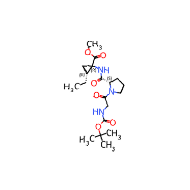 CC[C@@H]1C[C@]1(NC(=O)[C@@H]1CCCN1C(=O)CNC(=O)OC(C)(C)C)C(=O)OC